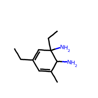 CCC1=CC(N)(CC)C(N)C(C)=C1